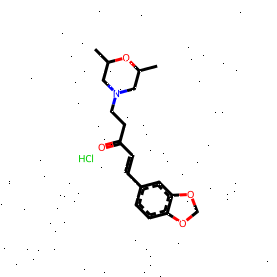 CC1CN(CCC(=O)C=Cc2ccc3c(c2)OCO3)CC(C)O1.Cl